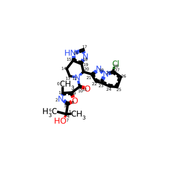 Cc1nc(C(C)(C)O)oc1C(=O)N1CCc2[nH]cnc2C1c1cc2cccc(Cl)n2n1